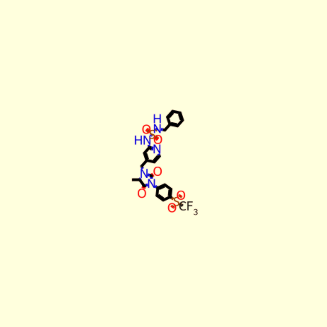 CC1C(=O)N(c2ccc(S(=O)(=O)C(F)(F)F)cc2)C(=O)N1Cc1ccnc(NS(=O)(=O)NCc2ccccc2)c1